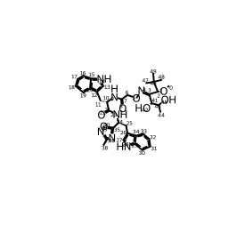 CO[C@H](/C(=N/OCC(=O)N[C@@H](Cc1c[nH]c2ccccc12)C(=O)N[C@@H](Cc1c[nH]c2ccccc12)c1nc(C)no1)C(O)C(C)O)C(C)(C)C